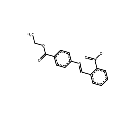 CCOC(=O)c1ccc(/N=C/c2ccccc2[N+](=O)[O-])cc1